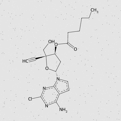 C#C[C@]1(CO)O[C@@H](n2ccc3c(N)nc(Cl)nc32)C[C@@H]1OC(=O)CCCCC